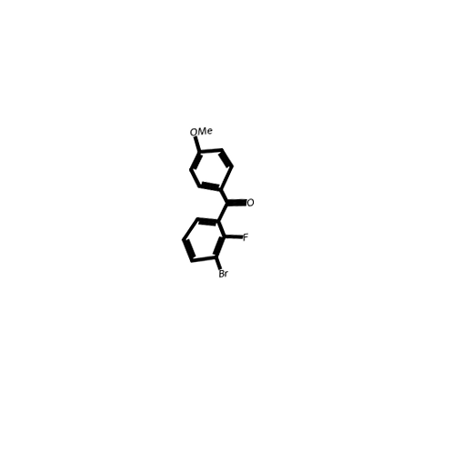 COc1ccc(C(=O)c2cccc(Br)c2F)cc1